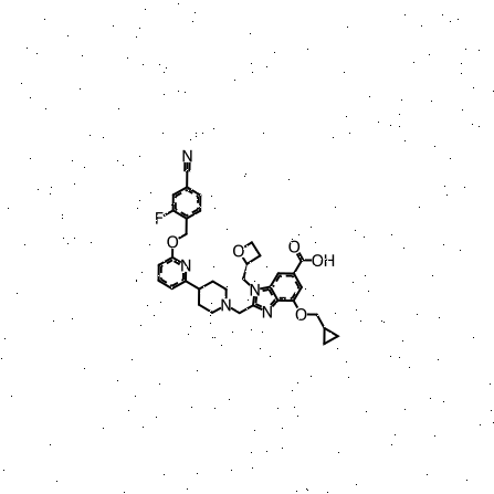 N#Cc1ccc(COc2cccc(C3CCN(Cc4nc5c(OCC6CC6)cc(C(=O)O)cc5n4C[C@@H]4CCO4)CC3)n2)c(F)c1